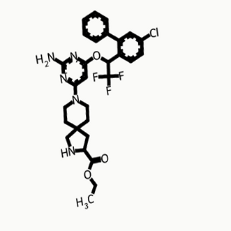 CCOC(=O)C1CC2(CCN(c3cc(OC(c4ccc(Cl)cc4-c4ccccc4)C(F)(F)F)nc(N)n3)CC2)CN1